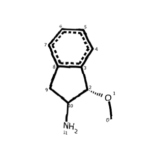 CO[C@H]1c2ccccc2CC1N